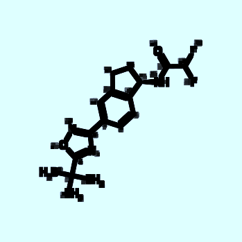 BC(B)(B)c1nc(-c2ccc3c(c2)CC[C@H]3NC(=O)C(F)F)no1